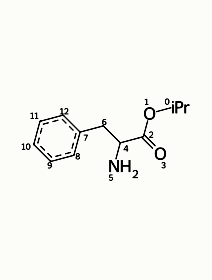 CC(C)OC(=O)C(N)Cc1ccccc1